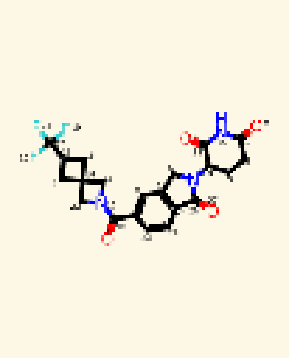 O=C1CCC(N2Cc3cc(C(=O)N4CC5(CC(C(F)(F)F)C5)C4)ccc3C2=O)C(=O)N1